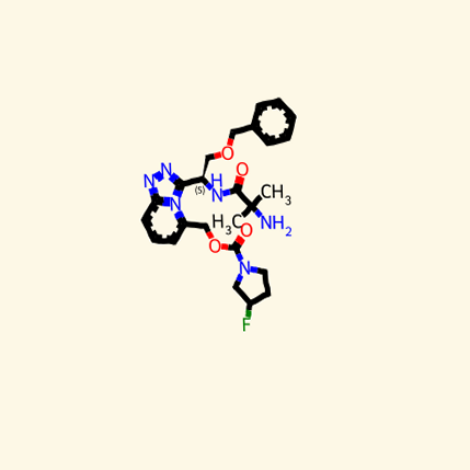 CC(C)(N)C(=O)N[C@H](COCc1ccccc1)c1nnc2cccc(COC(=O)N3CCC(F)C3)n12